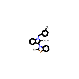 CCC1Sc2ccccc2N1c1c(C(=O)O)n(Cc2cccc(C(F)(F)F)c2)c2ccccc12